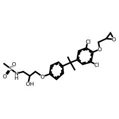 CC(C)(c1ccc(OCC(O)CNS(C)(=O)=O)cc1)c1cc(Cl)c(OCC2CO2)c(Cl)c1